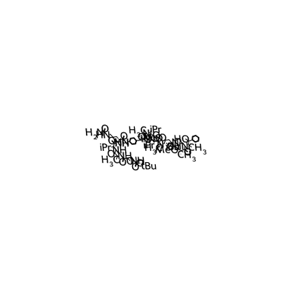 CCC(C)[C@@H]([C@@H](CC(=O)N1CCC[C@H]1[C@H](OC)[C@@H](C)C(=O)N[C@H](C)C(O)c1ccccc1)OC)N(C)C(=O)[C@@H](NC(=O)[C@H](C(C)C)N(C)C(=O)OCc1ccc(NC(=O)[C@H](CCCNC(N)=O)NC(=O)[C@@H](NC(=O)C(C)NC(=O)CONC(=O)OC(C)(C)C)C(C)C)cc1)C(C)C